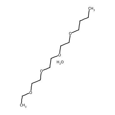 CCCCOCCOCCOCCOCC.O